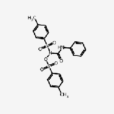 Cc1ccc(S(=O)(=O)ON(C(=O)Nc2ccccc2)S(=O)(=O)c2ccc(C)cc2)cc1